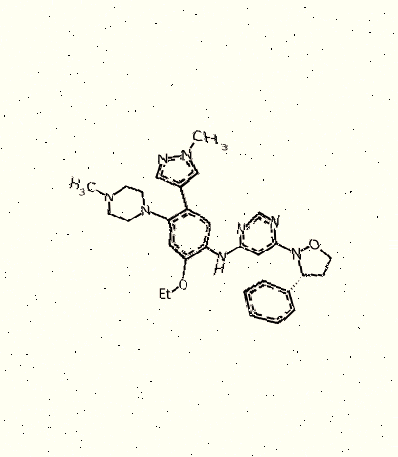 CCOc1cc(N2CCN(C)CC2)c(-c2cnn(C)c2)cc1Nc1cc(N2OCC[C@@H]2c2ccccc2)ncn1